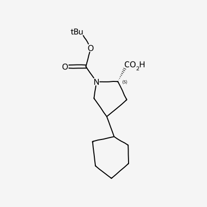 CC(C)(C)OC(=O)N1CC(C2CCCCC2)C[C@H]1C(=O)O